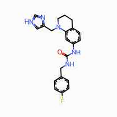 O=C(NCc1ccc(F)cc1)Nc1ccc2c(c1)N(Cc1c[nH]cn1)CCC2